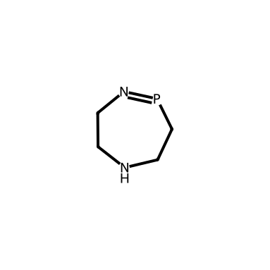 C1CNCCP=N1